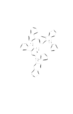 c1ccc(-n2c3ccccc3c3cc(-c4c5ccccc5cc5c6cccc7c8cc9c(nc8n(c45)c76)c4cccc5c6cc7ccccc7cc6n9c54)ccc32)cc1